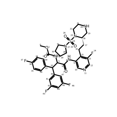 COC(=O)NC(C(=O)Nc1cncc(F)c1CC[C@H]1CNCCN1S(=O)(=O)N1CCCC1)C(c1ccc(F)cc1)c1cc(F)cc(F)c1